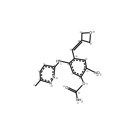 Cc1ccc(Nc2cc(OC(N)=O)c([N+](=O)[O-])cc2C=C2COC2)nn1